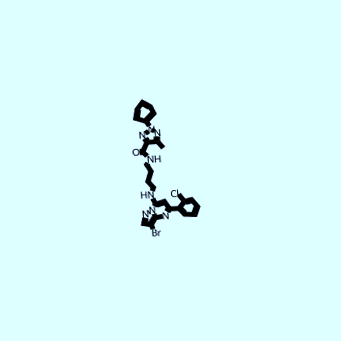 Cc1nn(-c2ccccc2)nc1C(=O)NCCCCNc1cc(-c2ccccc2Cl)nc2c(Br)cnn12